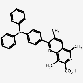 Cc1cc2c(C)nc(C(=O)O)c(C)c2nc1-c1ccc(N(c2ccccc2)c2ccccc2)cc1